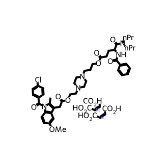 CCCN(CCC)C(=O)C(CCC(=O)OCCCN1CCN(CCOC(=O)Cc2c(C)n(C(=O)c3ccc(Cl)cc3)c3ccc(OC)cc23)CC1)NC(=O)c1ccccc1.O=C(O)/C=C\C(=O)O.O=C(O)/C=C\C(=O)O